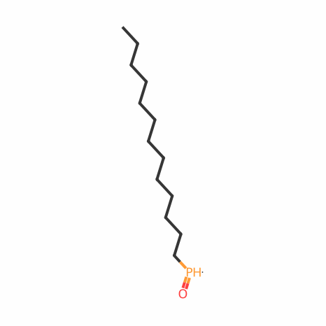 CCCCCCCCCCCCC[PH]=O